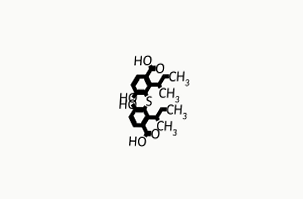 CCC(C)c1c(C(=O)O)ccc(O)c1Sc1c(O)ccc(C(=O)O)c1C(C)CC